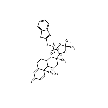 CC1(C)O[C@@H]2CC3C4CCC5=CC(=O)C=CC5(C)C4[C@@H](O)CC3(C)[C@]2(C(=O)CSc2nc3ccccc3s2)O1